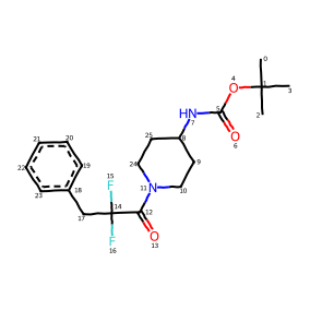 CC(C)(C)OC(=O)NC1CCN(C(=O)C(F)(F)Cc2ccccc2)CC1